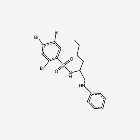 CCCCC(CNc1ccccc1)NS(=O)(=O)c1cc(Br)c(Br)cc1Br